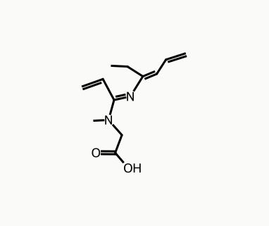 C=C/C=C(CC)/N=C(\C=C)N(C)CC(=O)O